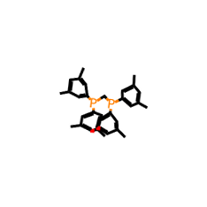 Cc1cc(C)cc(P(CP(c2cc(C)cc(C)c2)c2cc(C)cc(C)c2)c2cc(C)cc(C)c2)c1